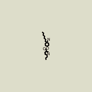 CCCCCCCC1(C#N)CCC(OC(=O)c2ccc(CCC)nc2)CC1